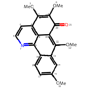 COC1=C(OC)c2ccnc3c2c(c(OC)c2cc(OC)ccc23)C1=O